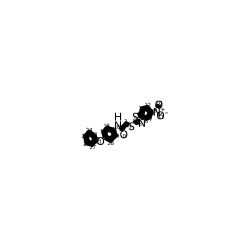 O=C(CSc1nc2cc([N+](=O)[O-])ccc2s1)Nc1ccc(Oc2ccccc2)cc1